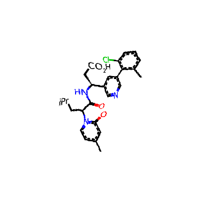 Cc1ccn(C(CC(C)C)C(=O)N[C@@H](CC(=O)O)c2cncc(-c3c(C)cccc3Cl)c2)c(=O)c1